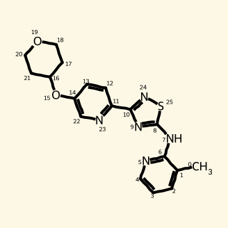 Cc1cccnc1Nc1nc(-c2ccc(OC3CCOCC3)cn2)ns1